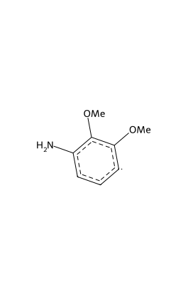 COc1[c]ccc(N)c1OC